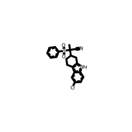 CC(C#N)(C1CCc2c([nH]c3ccc(Cl)cc23)C1)S(=O)(=O)c1ccccc1